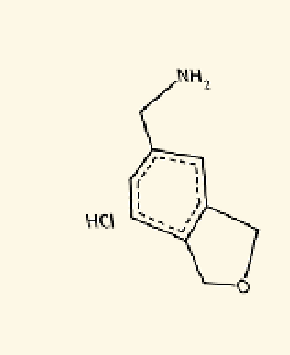 Cl.NCc1ccc2c(c1)COC2